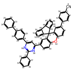 N#Cc1ccc(-c2ccc3c(c2)C2(c4cc(-c5cc(-c6ccc(-c7ccccc7)cc6)nc(-c6ccccc6)n5)ccc4O3)c3ccccc3-c3ccccc32)cc1